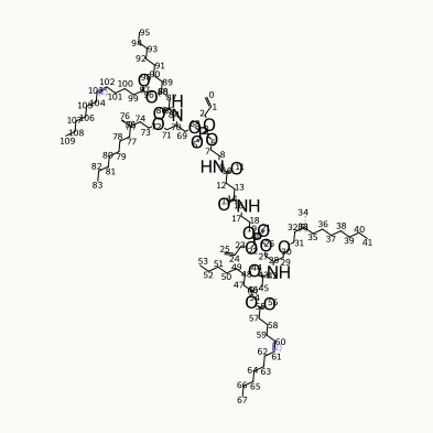 C=CCOP(=O)(OCCNC(=O)CCC(=O)NCCOP(=O)(OCC=C)OCC(COCC[C@H](C)CCCCCCC)NC(=O)C[C@@H](CCCCCCC)OC(=O)CCC/C=C\CCCCCC)OCC(COCC[C@H](C)CCCCCCC)NC(=O)C[C@@H](CCCCCCC)OC(=O)CCC/C=C\CCCCCC